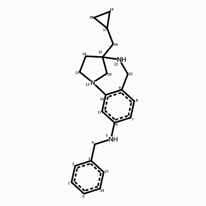 c1ccc(CNc2ccc3c(c2)N2CCC(CC4CC4)(C2)NC3)cc1